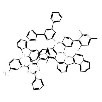 Cc1cc(C)c(-c2ccc3c(c2)B2c4c(cc(-c5ccc6c(c5)c5ccccc5n6-c5ccc(C#N)cc5-c5nc(-c6ccccc6)nc(-c6ccccc6)n5)c(C)c4-c4cccc5c6c7ccccc7ccc6n2c45)N3c2cc(-c3ccccc3)cc(-c3ccccc3)c2)c(C)c1